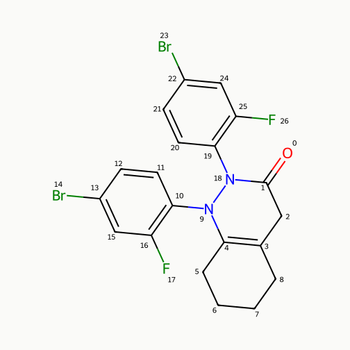 O=C1CC2=C(CCCC2)N(c2ccc(Br)cc2F)N1c1ccc(Br)cc1F